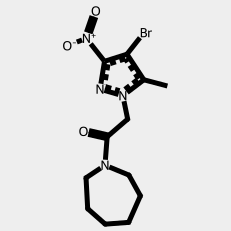 Cc1c(Br)c([N+](=O)[O-])nn1CC(=O)N1CCCCCC1